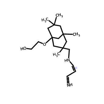 CC1(C)CC2(C)CC(C)(CN/C=C\C=N)CC(OCCO)(C1)C2